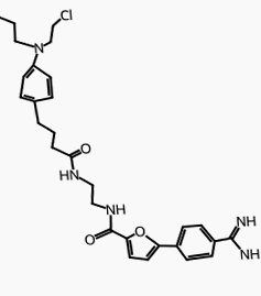 N=C(N)c1ccc(-c2ccc(C(=O)NCCNC(=O)CCCc3ccc(N(CCCl)CCCl)cc3)o2)cc1